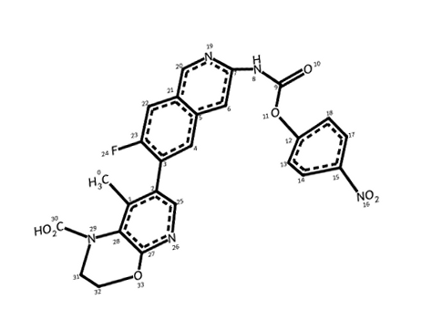 Cc1c(-c2cc3cc(NC(=O)Oc4ccc([N+](=O)[O-])cc4)ncc3cc2F)cnc2c1N(C(=O)O)CCO2